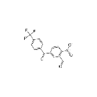 O=Cc1cc(C(=O)c2ccc(C(F)(F)F)cc2)ccc1[N+](=O)[O-]